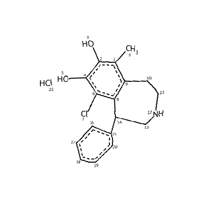 Cc1c(O)c(O)c(Cl)c2c1CCNCC2c1ccccc1.Cl